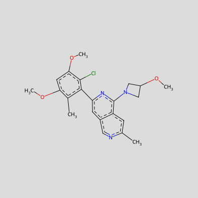 COc1cc(OC)c(Cl)c(-c2cc3cnc(C)cc3c(N3CC(OC)C3)n2)c1C